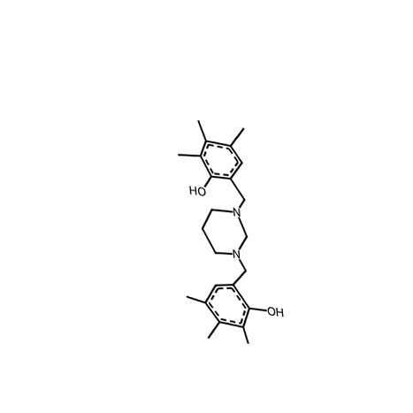 Cc1cc(CN2CCCN(Cc3cc(C)c(C)c(C)c3O)C2)c(O)c(C)c1C